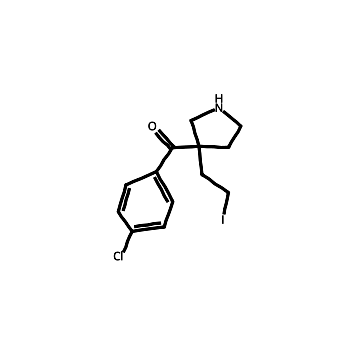 O=C(c1ccc(Cl)cc1)C1(CCI)CCNC1